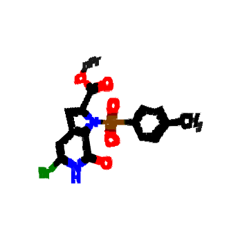 CCCOC(=O)c1cc2cc(Br)[nH]c(=O)c2n1S(=O)(=O)c1ccc(C)cc1